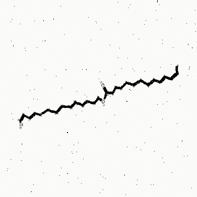 C/C=C\C=C\CCCCCCCCC(=O)OCCCCCCCCCC/C=C/C=C\CC